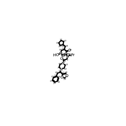 CC(C)N(CC(=O)N1CCN(C(Cc2ccccc2)C2=COCO2)CC1)NC(=O)C(CC1CCCC1)CN(O)C=O